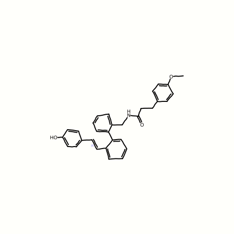 COc1ccc(CCC(=O)NCc2ccccc2-c2ccccc2/C=C/c2ccc(O)cc2)cc1